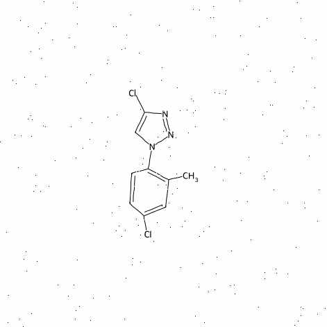 Cc1cc(Cl)ccc1-n1cc(Cl)nn1